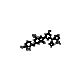 Cn1cnnc1[C@@H](c1cc(C#N)cc(-n2cc3c(C(F)(F)F)cc(CN4CCC[C@](C)([SiH3])C4)cn3c2=O)c1)C1CCC1